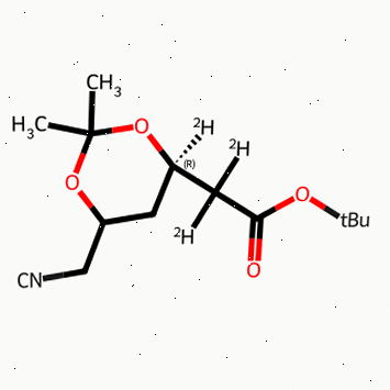 [2H]C([2H])(C(=O)OC(C)(C)C)[C@@]1([2H])CC(C[N+]#[C-])OC(C)(C)O1